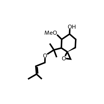 COC1C(O)CC[C@]2(CO2)C1C(C)(C)OCC=C(C)C